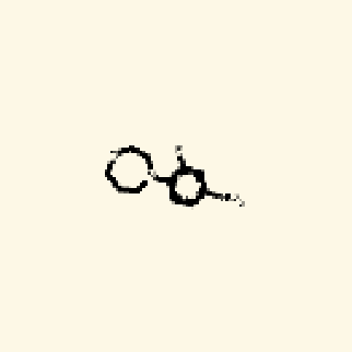 O=[N+]([O-])c1ccc(N2CCCOCC2)c(F)c1